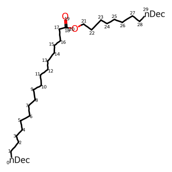 CCCCCCCCCCCCCCCCCCCCCCCCCCCC(=O)OCCCCCCCCCCCCCCCCCC